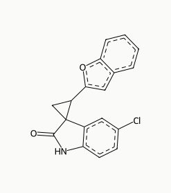 O=C1Nc2ccc(Cl)cc2C12CC2c1cc2ccccc2o1